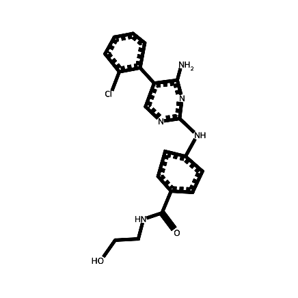 Nc1nc(Nc2ccc(C(=O)NCCO)cc2)ncc1-c1ccccc1Cl